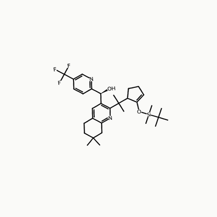 CC1(C)CCc2cc([C@H](O)c3ccc(C(F)(F)F)cn3)c(C(C)(C)C3CCC=C3O[Si](C)(C)C(C)(C)C)nc2C1